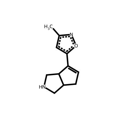 Cc1cc(C2=CCC3CNCC23)on1